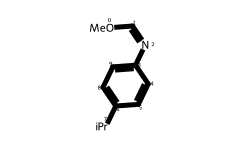 CO/C=N\c1ccc(C(C)C)cc1